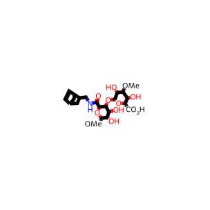 COC1OC(C(=O)NCC2CC3C=CC2C3)C(OC2OC(C(=O)O)C(O)C(OC)C2O)C(O)C1O